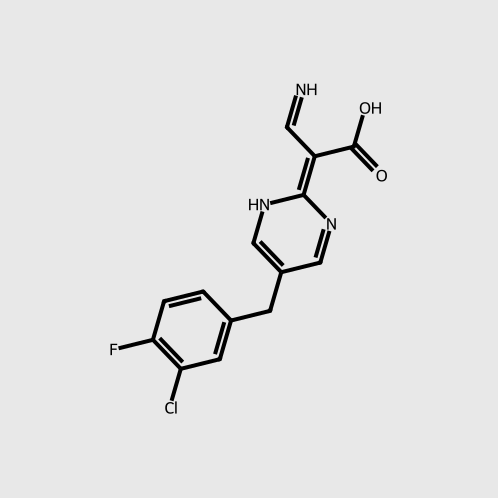 N=C/C(C(=O)O)=C1/N=CC(Cc2ccc(F)c(Cl)c2)=CN1